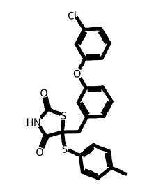 Cc1ccc(SC2(Cc3cccc(Oc4cccc(Cl)c4)c3)SC(=O)NC2=O)cc1